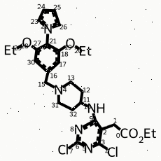 CCOC(=O)Cc1c(Cl)nc(Cl)nc1NC1CCN(Cc2cc(OCC)c(-n3cccc3)c(OCC)c2)CC1